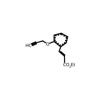 C#CCOc1ccccc1/C=C/C(=O)OCC